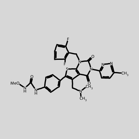 CONC(=O)Nc1ccc(-c2sc3c(c2CN(C)C)c(=O)n(-c2ccc(C)nn2)c(=O)n3Cc2c(F)cccc2F)cc1